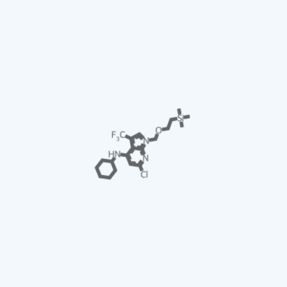 C[Si](C)(C)CCOCn1cc(C(F)(F)F)c2c(NC3CCCCC3)cc(Cl)nc21